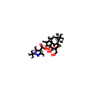 CC1=CC23C(=O)[C@@H](C=C(CO)[C@@H](O)[C@]2(O)[C@H]1OC(=O)c1c(C)nn(C(C)(C)C)c1C)[C@H]1[C@@H](CC3C)C1(C)C